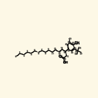 CCCCCCCCCCCCCCC(CC(=O)O)c1cc(C)c(O)c(C(C)(C)C)c1